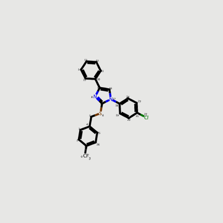 FC(F)(F)c1ccc(CSc2nc(-c3ccccc3)cn2-c2ccc(Cl)cc2)cc1